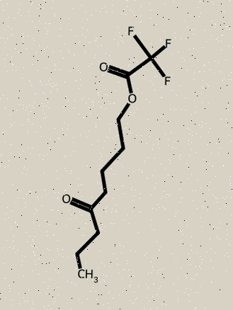 CCCC(=O)CCCCOC(=O)C(F)(F)F